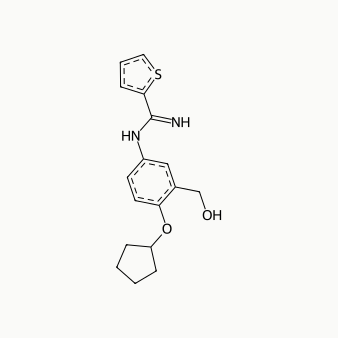 N=C(Nc1ccc(OC2CCCC2)c(CO)c1)c1cccs1